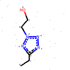 CCc1nnn(CCO)n1